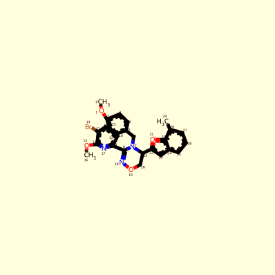 COc1ccc(CN2C(c3ccc(Br)c(OC)n3)=NOCC2c2cc3cccc(C)c3o2)cc1